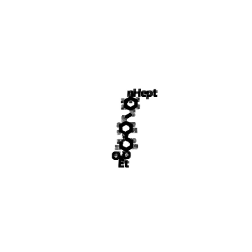 CCCCCCC[C@H]1CC[C@H](CC[C@H]2CC[C@H]([C@H]3CC[C@H](OC(=O)CC)CC3)CC2)CC1